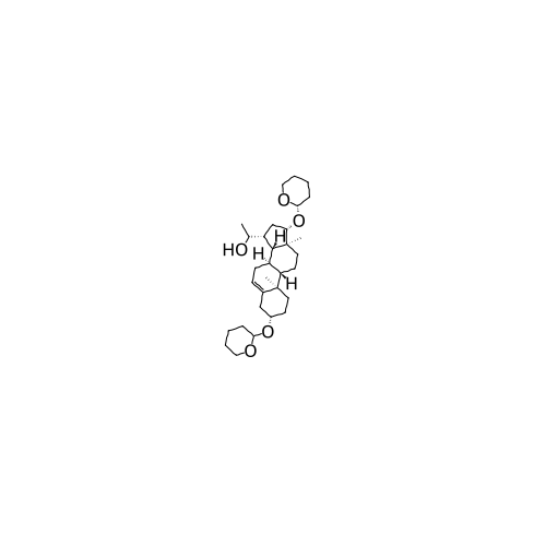 CC(O)[C@@H]1C[C@H](O[C@H]2CCCCO2)[C@@]2(C)CC[C@H]3[C@@H](CC=C4C[C@@H](OC5CCCCO5)CC[C@@]43C)[C@H]12